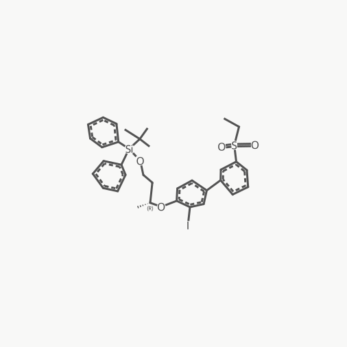 CCS(=O)(=O)c1cccc(-c2ccc(O[C@H](C)CCO[Si](c3ccccc3)(c3ccccc3)C(C)(C)C)c(I)c2)c1